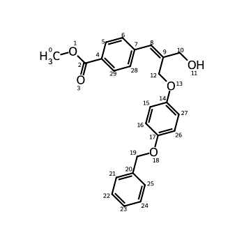 COC(=O)c1ccc(C=C(CO)COc2ccc(OCc3ccccc3)cc2)cc1